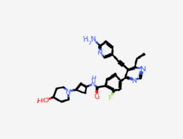 CCc1ncnc(-c2ccc(C(=O)NC3CC(N4CCC(O)CC4)C3)c(F)c2)c1C#Cc1ccc(N)nc1